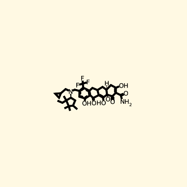 CCC1(C)[C@@H](N(Cc2cc(O)c3c(c2C(F)(F)F)CC2C[C@H]4CC(O)=C(C(N)=O)C(=O)[C@@]4(O)C(O)=C2C3=O)CC2CC2)CC(C)C1(C)C